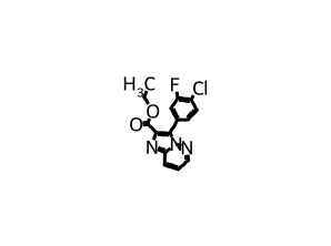 CCOC(=O)c1nc2cccnn2c1-c1ccc(Cl)c(F)c1